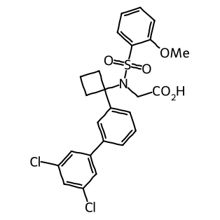 COc1ccccc1S(=O)(=O)N(CC(=O)O)C1(c2cccc(-c3cc(Cl)cc(Cl)c3)c2)CCC1